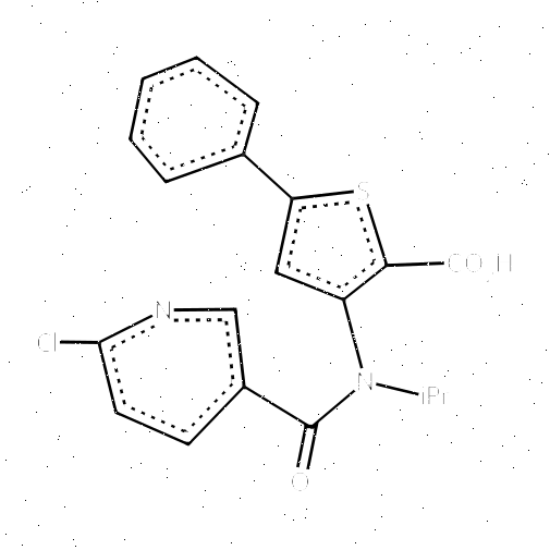 CC(C)N(C(=O)c1ccc(Cl)nc1)c1cc(-c2ccccc2)sc1C(=O)O